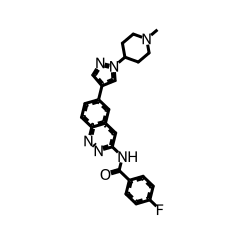 CN1CCC(n2cc(-c3ccc4nnc(NC(=O)c5ccc(F)cc5)cc4c3)cn2)CC1